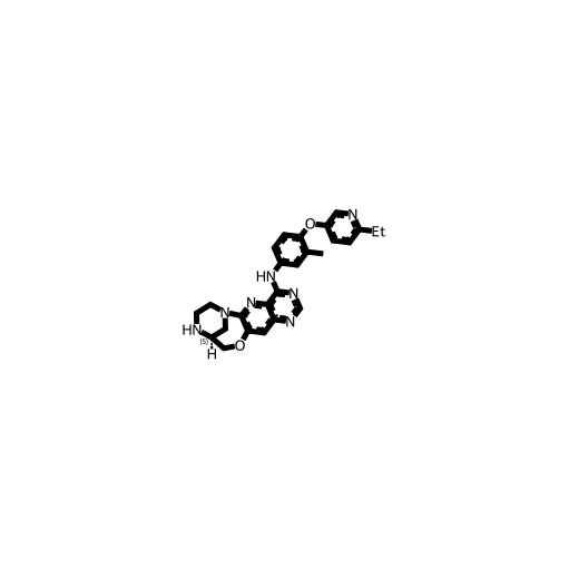 CCc1ccc(Oc2ccc(Nc3ncnc4cc5c(nc34)N3CCN[C@H](CO5)C3)cc2C)cn1